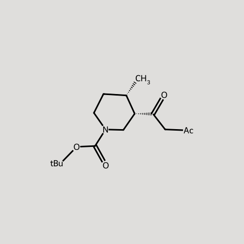 CC(=O)CC(=O)[C@@H]1CN(C(=O)OC(C)(C)C)CC[C@@H]1C